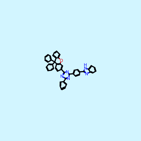 c1ccc(-c2nc(-c3ccc(-c4nc5ccccc5[nH]4)cc3)nc(-c3ccc4c(c3)Oc3ccccc3C4(c3ccccc3)c3ccccc3)n2)cc#1